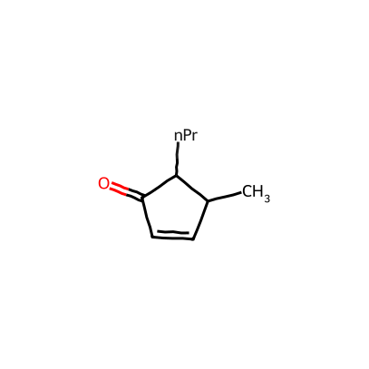 CCCC1C(=O)C=CC1C